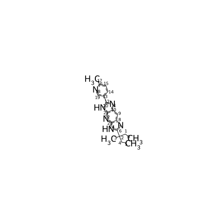 CCC(C)(CC)c1nc2cc3nc(-c4ccc(C)nc4)[nH]c3nc2[nH]1